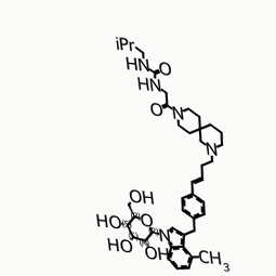 Cc1cccc2c1c(Cc1ccc(C=CCCN3CCCC4(CCN(C(=O)CNC(=O)NCC(C)C)CC4)C3)cc1)cn2[C@@H]1O[C@H](CO)[C@@H](O)[C@H](O)[C@H]1O